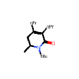 CCCC1=C(CCC)C(=O)N(C(C)(C)C)C(C)C1